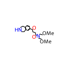 COCCN(CCOC)C(=O)CCC(=O)c1ccc2c(c1)CCNCC2